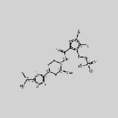 CCc1nc(C(=O)N[C@@H]2CCN(c3nnc([C@H](C)O)s3)C[C@@H]2OC)n(COP(=O)(O)O)c1Cl